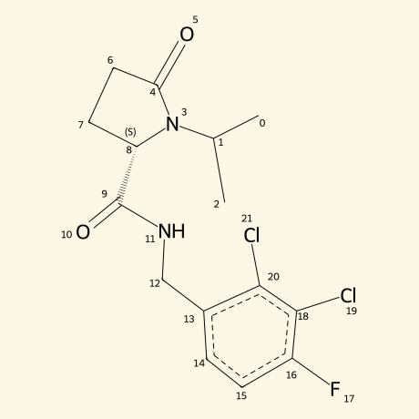 CC(C)N1C(=O)CC[C@H]1C(=O)NCc1ccc(F)c(Cl)c1Cl